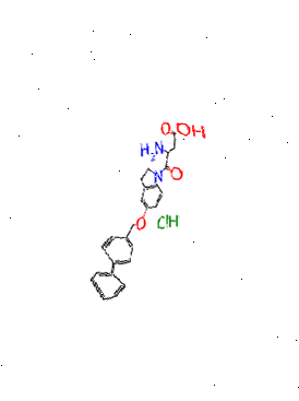 Cl.NC(CC(=O)O)C(=O)N1CCc2cc(OCc3ccc(-c4ccccc4)cc3)ccc21